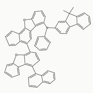 CC1(C)c2ccccc2-c2ccc(N(c3ccccc3)c3cccc4oc5c6ccccc6c(-c6ccc(-c7cccc8ccccc78)c7c6oc6ccccc67)cc5c34)cc21